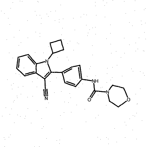 N#Cc1c(-c2ccc(NC(=O)N3CCOCC3)cc2)n(C2CCC2)c2ccccc12